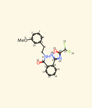 COc1cccc(CCNC(=O)c2ccccc2-c2noc(C(F)F)n2)c1